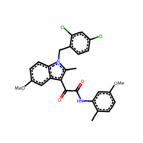 COc1ccc(C)c(NC(=O)C(=O)c2c(C)n(Cc3ccc(Cl)cc3Cl)c3ccc(OC)cc23)c1